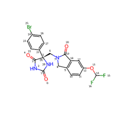 O=C1NC(=O)[C@](CN2Cc3ccc(OC(F)F)cc3C2=O)(c2ccc(Br)cc2)N1